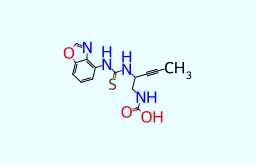 CC#CC(CNC(=O)O)NC(=S)Nc1cccc2ocnc12